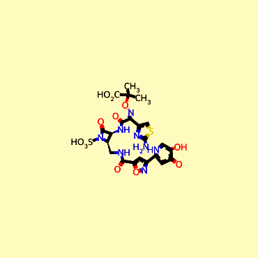 CC(C)(O/N=C(\C(=O)N[C@@H]1C(=O)N(S(=O)(=O)O)[C@@H]1CNC(=O)c1cc(-c2cc(=O)c(O)c[nH]2)no1)c1csc(N)n1)C(=O)O